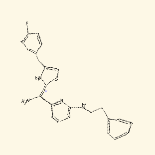 N/C(=C1\NC(c2ccc(F)cc2)=CS1)c1ccnc(NCCc2cccnc2)n1